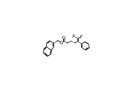 O=C(CCCC(=C(F)F)c1ccccc1)OCc1ccc2ccccc2c1